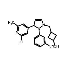 Cc1cc(C2C=CN(CC3CC(O)C3)N2c2cccc(C#N)c2)cc(Cl)n1